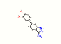 Nc1n[nH]c2cc(-c3ccc(O)c(O)c3)ccc12